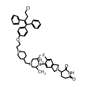 CC1CN(CC2CCN(CCOc3ccc(C(=C(CCCl)c4ccccc4)c4ccccc4)cc3)CC2)CC(C)N1c1cc2c(cc1F)CN(C1CCC(=O)NC1=O)C2